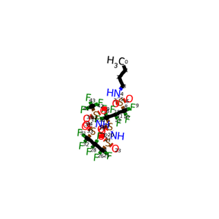 CCCCNS(=O)(=O)C(F)(F)C(F)(F)C(F)(F)S(=O)(=O)NS(=O)(=O)C(F)(F)C(F)(F)C(F)(F)S(=O)(=O)NS(=O)(=O)C(F)(F)F